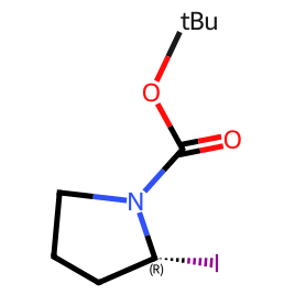 CC(C)(C)OC(=O)N1CCC[C@H]1I